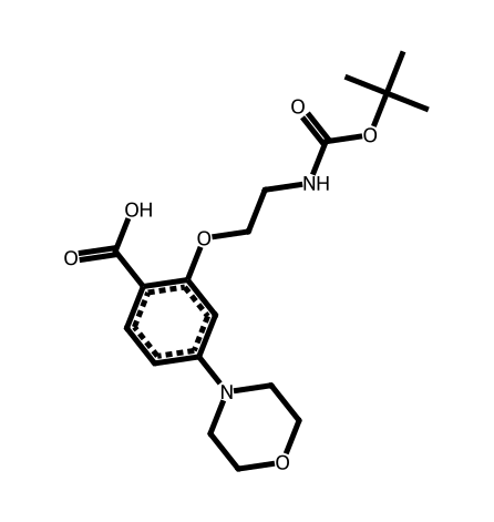 CC(C)(C)OC(=O)NCCOc1cc(N2CCOCC2)ccc1C(=O)O